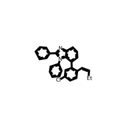 CC/C=C\c1ccc(Cl)cc1-c1cccc2nc(-c3ccccc3)n(-c3ccccc3)c12